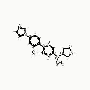 CN(c1cnc(-c2ccc(-n3ccnc3)cc2O)nn1)[C@H]1CCNC1